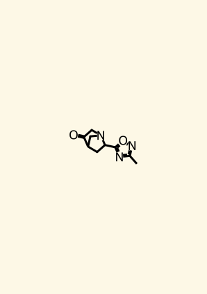 Cc1noc(C2CC3CN2CC3=O)n1